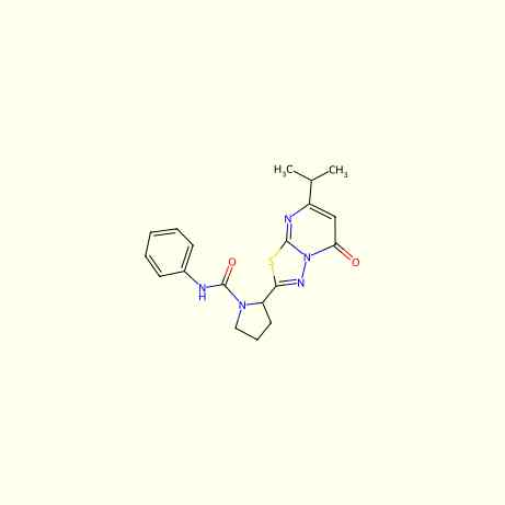 CC(C)c1cc(=O)n2nc(C3CCCN3C(=O)Nc3ccccc3)sc2n1